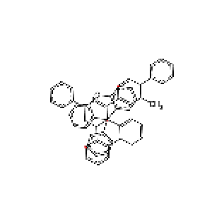 CC1C=C(C2=NC(c3ccccc3)CC(c3ccccc3C3CC=CC=C3C3(c4ccccc4)c4ccccc4Oc4ccccc43)C2)C=CC1c1ccccc1